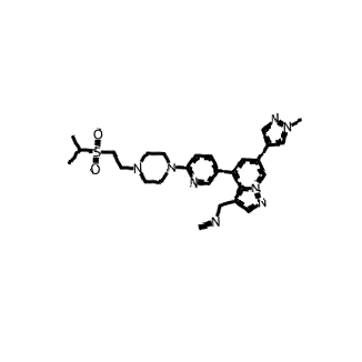 C=NCc1cnn2cc(-c3cnn(C)c3)cc(-c3ccc(N4CCN(CCS(=O)(=O)C(C)C)CC4)nc3)c12